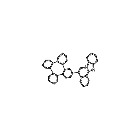 c1ccc2c(c1)-c1ccccc1-c1ccc(-c3cn4c5ccccc5nc4c4ccccc34)cc1-c1ccccc1-2